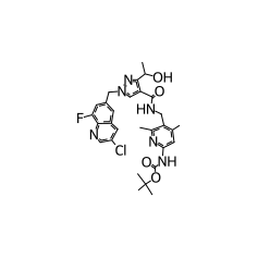 Cc1cc(NC(=O)OC(C)(C)C)nc(C)c1CNC(=O)c1cn(Cc2cc(F)c3ncc(Cl)cc3c2)nc1C(C)O